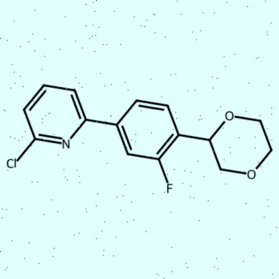 Fc1cc(-c2cccc(Cl)n2)ccc1C1COCCO1